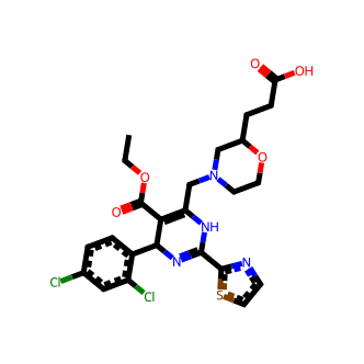 CCOC(=O)C1=C(CN2CCOC(CCC(=O)O)C2)NC(c2nccs2)=NC1c1ccc(Cl)cc1Cl